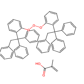 C=C(C)C(=O)O.c1ccc(CC(c2ccccc2)(c2ccccc2)c2ccccc2OOOc2ccccc2C(Cc2ccccc2)(c2ccccc2)c2ccccc2)cc1